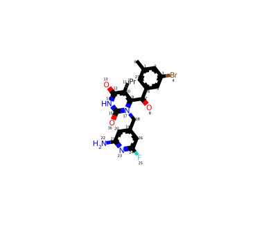 Cc1cc(Br)cc(C(=O)c2c(C(C)C)c(=O)[nH]c(=O)n2Cc2cc(N)nc(F)c2)c1